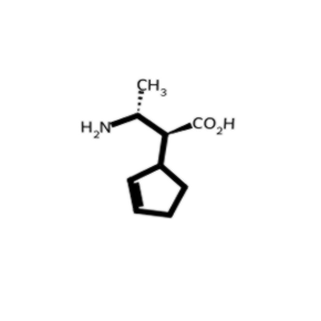 C[C@@H](N)[C@@H](C(=O)O)C1C=CCC1